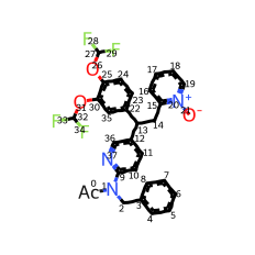 CC(=O)N(Cc1ccccc1)c1ccc(C(Cc2cccc[n+]2[O-])c2ccc(OC(F)F)c(OC(F)F)c2)cn1